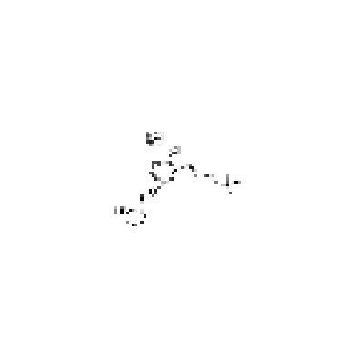 CC(C)(C)C=CC=Cc1cc(OC[C@H]2CCCN2)cnc1Cl.Cl.Cl